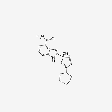 CC1(c2nc3c(C(N)=O)cccc3[nH]2)C=C[N+](C2CCCCC2)=C1